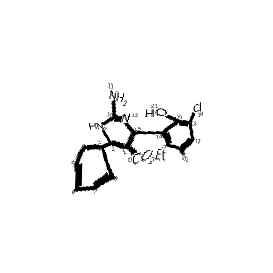 CCOC(=O)C1=C(c2ccccc2)NC(N)=NC1c1cccc(Cl)c1O